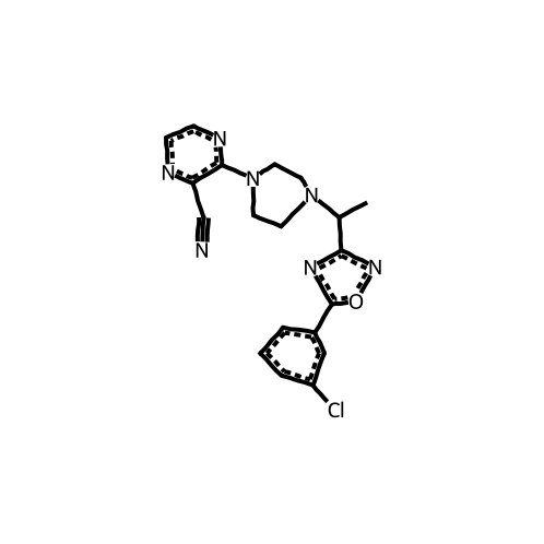 CC(c1noc(-c2cccc(Cl)c2)n1)N1CCN(c2nccnc2C#N)CC1